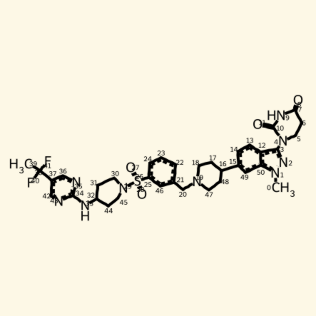 Cn1nc(N2CCC(=O)NC2=O)c2ccc(C3CCN(Cc4cccc(S(=O)(=O)N5CCC(Nc6ncc(C(C)(F)F)cn6)CC5)c4)CC3)cc21